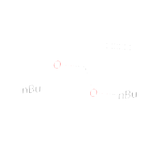 C=C[C](OCCCC)OCCCC